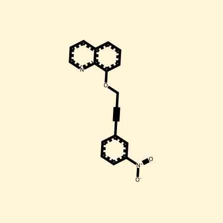 O=[N+]([O-])c1cccc(C#CCOc2cccc3cccnc23)c1